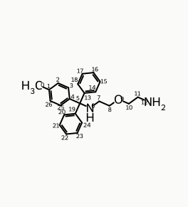 Cc1ccc(C(NCCOCCN)(c2ccccc2)c2ccccc2)cc1